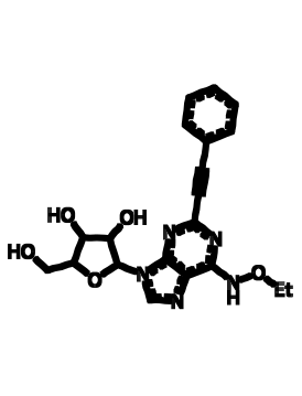 CCONc1nc(C#Cc2ccccc2)nc2c1ncn2C1OC(CO)C(O)C1O